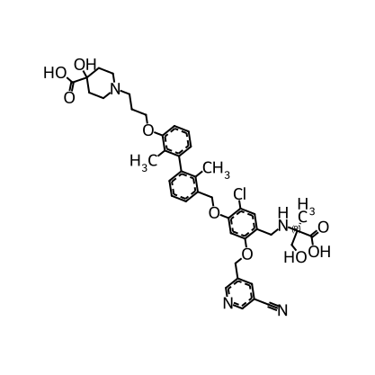 Cc1c(COc2cc(OCc3cncc(C#N)c3)c(CN[C@](C)(CO)C(=O)O)cc2Cl)cccc1-c1cccc(OCCCN2CCC(O)(C(=O)O)CC2)c1C